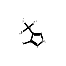 CC1=C[N][C]=C1C(F)(F)F